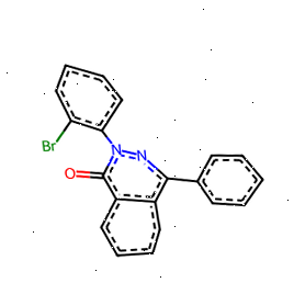 O=c1c2ccccc2c(-c2ccccc2)nn1-c1ccccc1Br